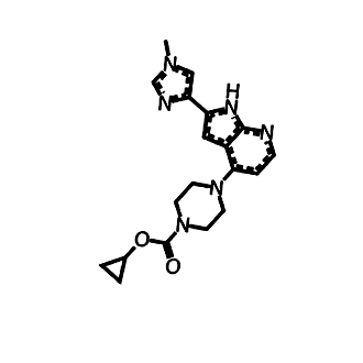 Cn1cnc(-c2cc3c(N4CCN(C(=O)OC5CC5)CC4)ccnc3[nH]2)c1